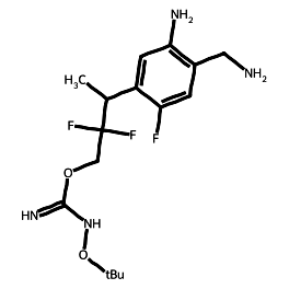 CC(c1cc(N)c(CN)cc1F)C(F)(F)COC(=N)NOC(C)(C)C